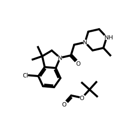 CC(C)(C)OC=O.CC1CN(CC(=O)N2CC(C)(C)c3c(Cl)cccc32)CCN1